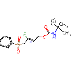 CC(C)(C)NC(=O)OC/C=C(\F)CS(=O)(=O)c1ccccc1